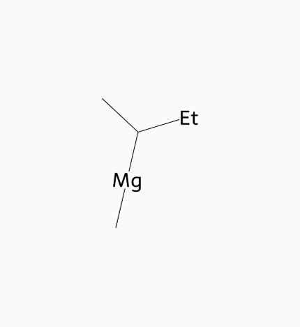 CC[CH](C)[Mg][CH3]